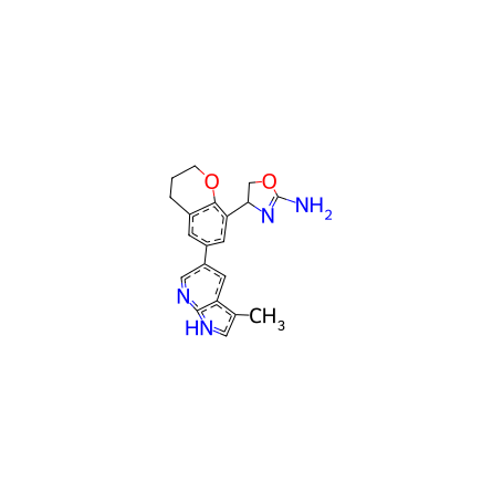 Cc1c[nH]c2ncc(-c3cc4c(c(C5COC(N)=N5)c3)OCCC4)cc12